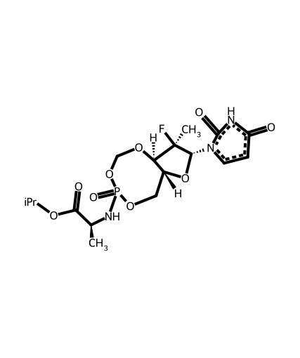 CC(C)OC(=O)[C@H](C)NP1(=O)OCO[C@@H]2[C@@H](CO1)O[C@@H](n1ccc(=O)[nH]c1=O)[C@]2(C)F